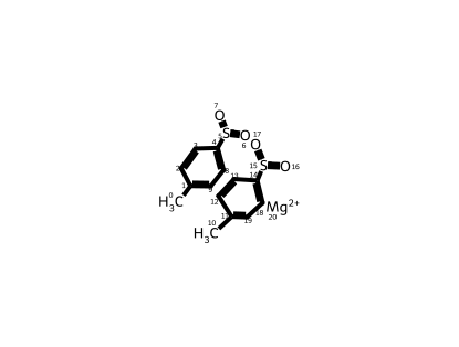 Cc1ccc([S-](=O)=O)cc1.Cc1ccc([S-](=O)=O)cc1.[Mg+2]